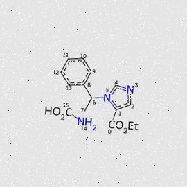 CCOC(=O)c1cncn1C(C)c1ccccc1.NC(=O)O